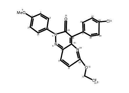 COc1ccc(-n2nc3ccc(OCC(F)(F)F)nc3c(-c3ccc(Cl)cc3)c2=O)cc1